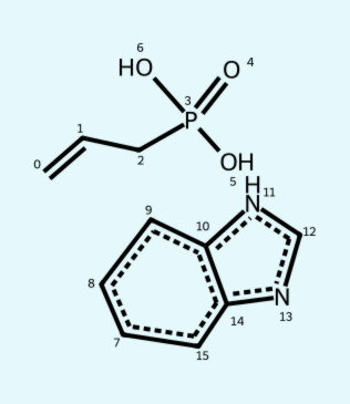 C=CCP(=O)(O)O.c1ccc2[nH]cnc2c1